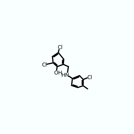 Cc1ccc(NCc2cc(Cl)cc(Cl)c2O)cc1Cl